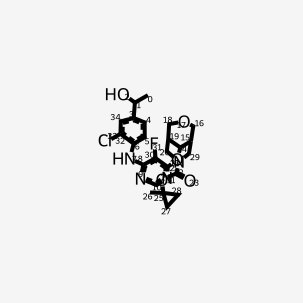 CC(O)c1ccc(Nc2ncnc(OC3C4COCC3CN(C(=O)OC3(C)CC3)C4)c2F)c(Cl)c1